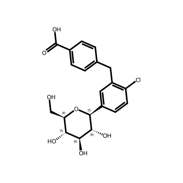 O=C(O)c1ccc(Cc2cc([C@@H]3O[C@H](CO)[C@@H](O)[C@H](O)[C@H]3O)ccc2Cl)cc1